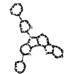 c1ccc(-c2ccc(-n3c4ccc(-c5ccccc5)nc4c4c5sc6ccccc6c5ccc43)nc2)cc1